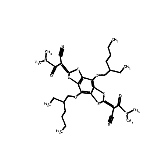 CCCCC(CC)COc1c2c(c(OCC(CC)CCCC)c3c1SC(=C(C#N)C(=O)N(C)C)S3)SC(=C(C#N)C(=O)N(C)C)S2